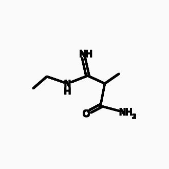 CCNC(=N)C(C)C(N)=O